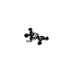 CC(C)(C)OC(=O)N[C@@H](CSSC[C@H](NC(=O)OC(C)(C)C)C(=O)N1CCn2nc(-c3ccco3)cc2C1CCc1ccccc1)C(=O)N1CCn2nc(-c3ccco3)cc2C1CCc1ccccc1